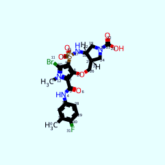 Cc1cc(NC(=O)c2c3c(c(Br)n2C)S(=O)(=O)N[C@H]2CN(C(=O)O)C[C@H]2CO3)ccc1F